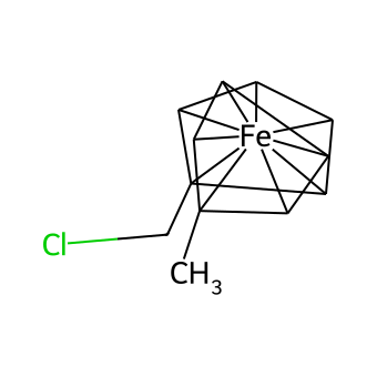 C[C]12[CH]3[CH]4[CH]5[CH]1[Fe]45321678[CH]2[CH]1[CH]6[C]7(CCl)[CH]28